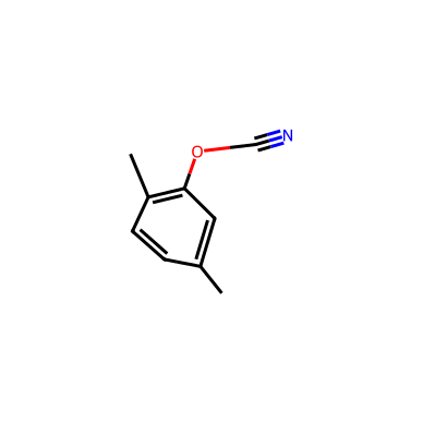 Cc1ccc(C)c(OC#N)c1